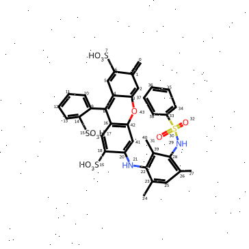 C=c1cc2c(cc1S(=O)(=O)O)=C(c1ccccc1S(=O)(=O)O)c1cc(S(=O)(=O)O)c(Nc3c(C)cc(C)c(NS(=O)(=O)c4ccccc4)c3C)cc1O2